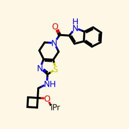 CC(C)OC1(CNc2nc3c(s2)CN(C(=O)c2cc4ccccc4[nH]2)CC3)CCC1